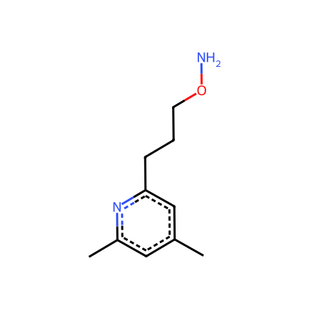 Cc1cc(C)nc(CCCON)c1